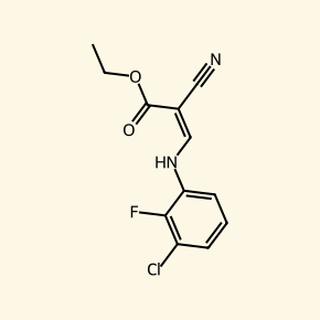 CCOC(=O)/C(C#N)=C\Nc1cccc(Cl)c1F